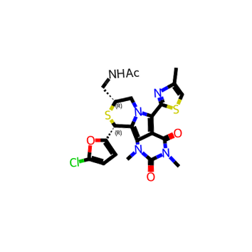 CC(=O)NC[C@@H]1Cn2c(-c3nc(C)cs3)c3c(=O)n(C)c(=O)n(C)c3c2[C@H](c2ccc(Cl)o2)S1